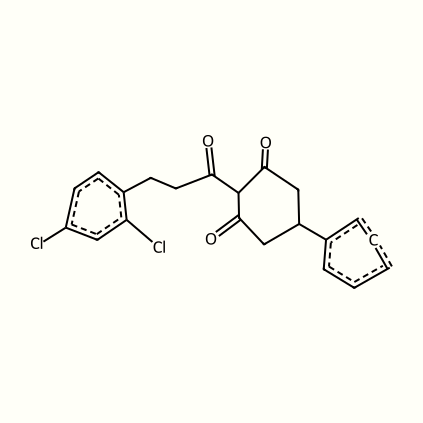 O=C(CCc1ccc(Cl)cc1Cl)C1C(=O)CC(c2ccccc2)CC1=O